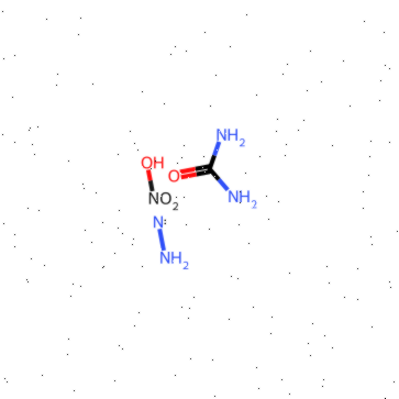 NC(N)=O.O=[N+]([O-])O.[N]N